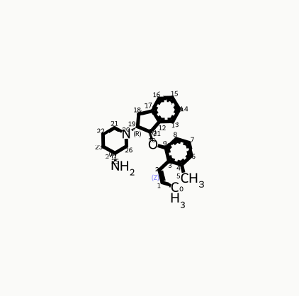 C/C=C\c1c(C)cccc1O[C@@H]1c2ccccc2C[C@H]1N1CCC[C@@H](N)C1